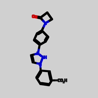 O=C(O)c1cccc(N2C=CN(c3ccc(N4CCC4=O)cc3)N2)c1